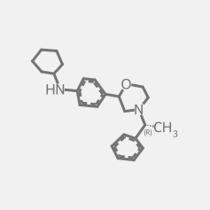 C[C@H](c1ccccc1)N1CCOC(c2ccc(NC3CCCCC3)cc2)C1